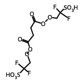 O=C(CCC(=O)OOCC(F)(F)S(=O)(=O)O)OOCC(F)(F)S(=O)(=O)O